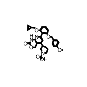 COc1ccc(COc2cccc(OCC3CC3)c2-c2cc(C3CCCN(C(=O)O)C3)c3c(n2)NC(=O)OC3)cc1